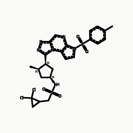 Cc1ccc(S(=O)(=O)n2ccc3c2ncc2nnc([C@H]4C[C@@H](NS(=O)(=O)CC5CC5(Cl)Cl)C[C@H]4C)n23)cc1